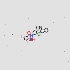 N#CC(c1ccc2ccccc2c1)c1ccc(NC(=O)c2cc(I)cc(I)c2O)cc1Cl